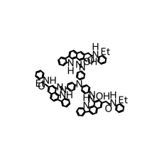 CCc1ccccc1NC(=O)Cc1cc2ccc3c4ccccc4[nH]c3c2c(N=Nc2ccc(N(c3ccc(N=Nc4cc(C(=O)Nc5ccccc5CC)cc5ccc6c7ccccc7[nH]c6c45)cc3)c3ccc(N=Nc4c(O)c(CC(=O)Nc5ccccc5CC)cc5ccc6c7ccccc7[nH]c6c45)cc3)cc2)c1O